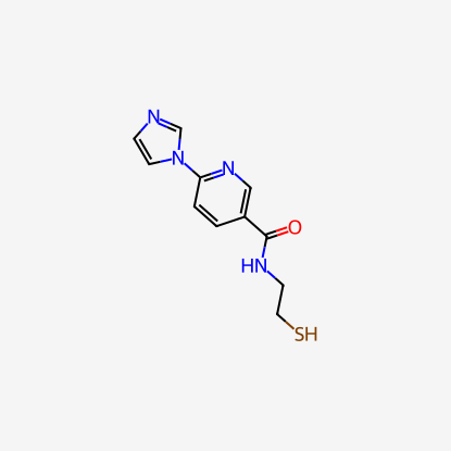 O=C(NCCS)c1ccc(-n2ccnc2)nc1